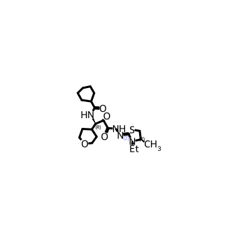 CCN1/C(=N/NC(=O)C(=O)[C@H](NC(=O)C2CCCCC2)C2CCOCC2)SC[C@H]1C